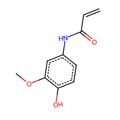 C=CC(=O)Nc1ccc(O)c(OC)c1